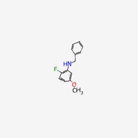 COc1ccc(F)c(NCc2ccccc2)c1